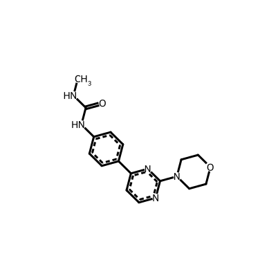 CNC(=O)Nc1ccc(-c2ccnc(N3CCOCC3)n2)cc1